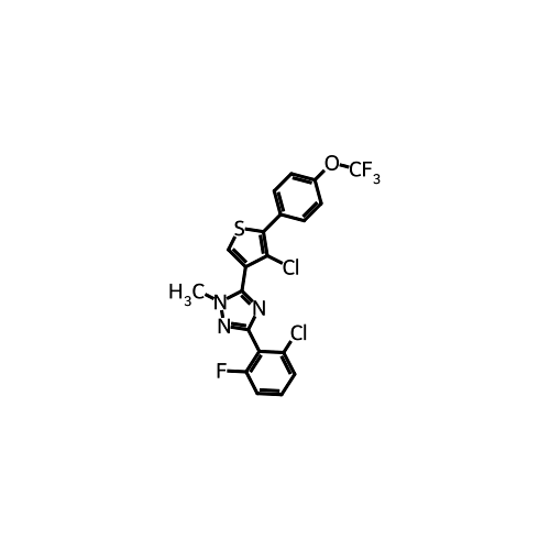 Cn1nc(-c2c(F)cccc2Cl)nc1-c1csc(-c2ccc(OC(F)(F)F)cc2)c1Cl